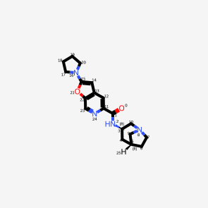 O=C(N[C@@H]1C[C@H]2CCN(C2)C1)c1cc2cc(N3CCCC3)oc2cn1